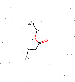 CC(=O)CCC(=O)OCOC(C)=O